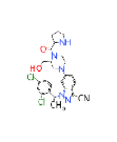 CC(c1ccc(Cl)cc1Cl)n1nc(C#N)c2ccc(N3CCN(C(=O)C4CCCN4)[C@H](CO)C3)cc21